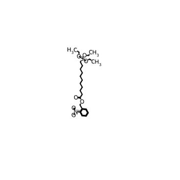 CCO[Si](CCCCCCCCCCC(=O)OCc1ccccc1[N+](=O)[O-])(OCC)OCC